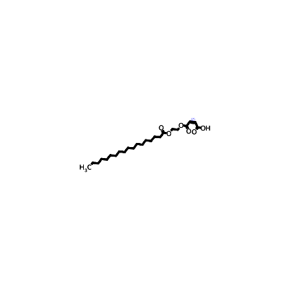 CCCCCCCCCCCCCCCCCC(=O)OCCOC(=O)/C=C\C(=O)O